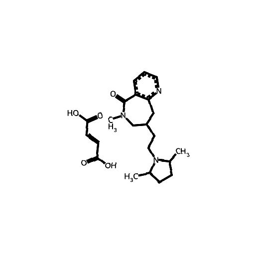 CC1CCC(C)N1CCC1Cc2ncccc2C(=O)N(C)C1.O=C(O)C=CC(=O)O